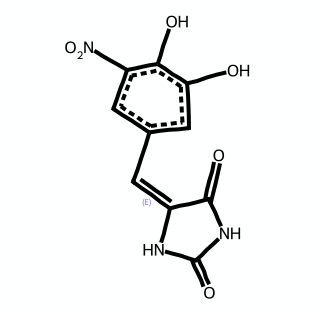 O=C1NC(=O)/C(=C\c2cc(O)c(O)c([N+](=O)[O-])c2)N1